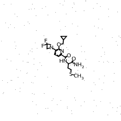 CSCCC(NC(=O)c1ccc(N2CC(F)(F)C2)c(OCC2CC2)n1)C(N)=O